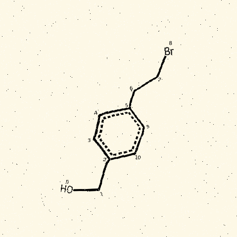 OCc1ccc([CH]CBr)cc1